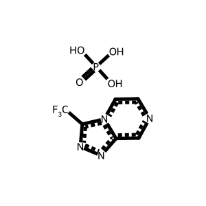 FC(F)(F)c1nnc2cnccn12.O=P(O)(O)O